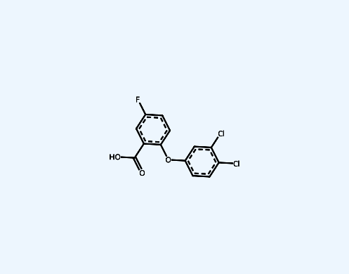 O=C(O)c1cc(F)ccc1Oc1ccc(Cl)c(Cl)c1